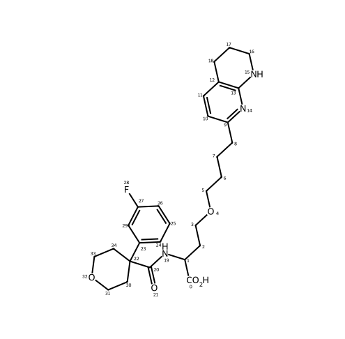 O=C(O)C(CCOCCCCc1ccc2c(n1)NCCC2)NC(=O)C1(c2cccc(F)c2)CCOCC1